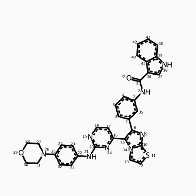 O=C(Nc1cccc(-c2nc3sccn3c2-c2ccnc(Nc3ccc(N4CCOCC4)cc3)n2)c1)c1c[nH]c2ccccc12